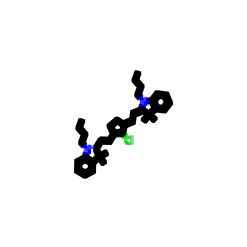 CCCCN1/C(=C/C=C2\CCC(/C=C/C3=[N+](CCCC)c4ccccc4C3(C)C)=C2Cl)C(C)(C)c2ccccc21